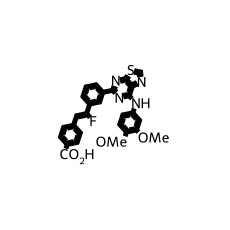 COc1ccc(Nc2nc(-c3cccc(C(F)=Cc4ccc(C(=O)O)cc4)c3)nc3scnc23)cc1OC